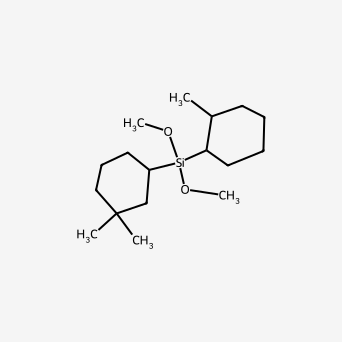 CO[Si](OC)(C1CCCC(C)(C)C1)C1CCCCC1C